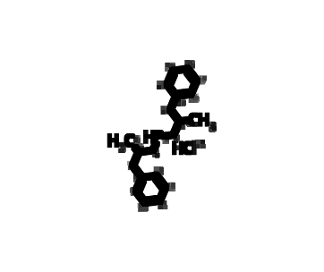 CC(CPCC(C)Cc1ccccc1)Cc1ccccc1.Cl